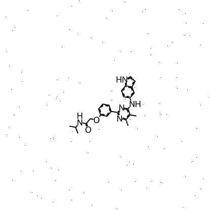 Cc1nc(-c2cccc(OCC(=O)NC(C)C)c2)nc(Nc2ccc3[nH]ccc3c2)c1C